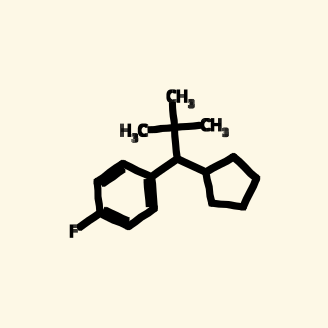 CC(C)(C)C(c1ccc(F)cc1)C1CCCC1